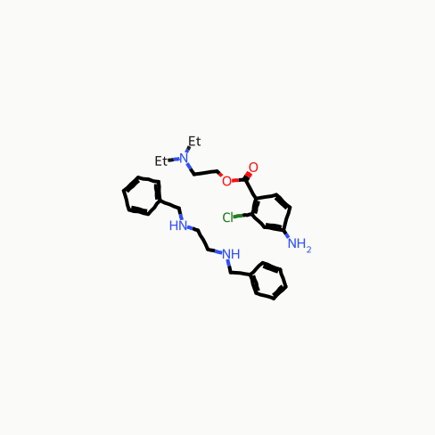 CCN(CC)CCOC(=O)c1ccc(N)cc1Cl.c1ccc(CNCCNCc2ccccc2)cc1